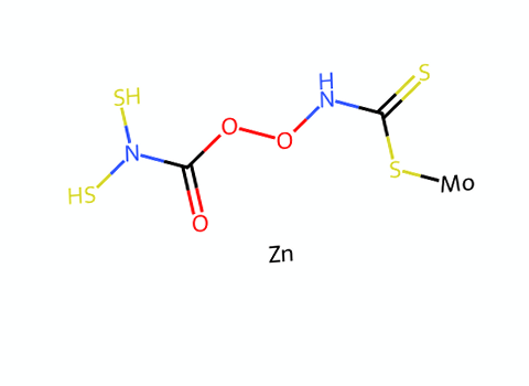 O=C(OONC(=S)[S][Mo])N(S)S.[Zn]